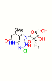 CSC1CC(=O)Nc2nc(Cl)nc3c2c1cn3C1O[C@H](CO)[C@@H](O)[C@@]1(C)O